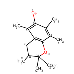 Cc1c(C)c2c(c(C)c1O)CC(C)C(C)(C(=O)O)O2